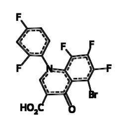 O=C(O)c1cn(-c2ccc(F)cc2F)c2c(F)c(F)c(F)c(Br)c2c1=O